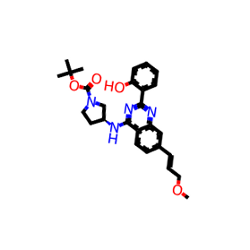 COC/C=C/c1ccc2c(N[C@H]3CCN(C(=O)OC(C)(C)C)C3)nc(-c3ccccc3O)nc2c1